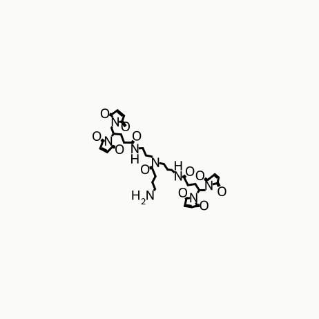 NCCCC(=O)N(CCCNC(=O)CCC(CN1C(=O)C=CC1=O)N1C(=O)C=CC1=O)CCCNC(=O)CCC(CN1C(=O)C=CC1=O)N1C(=O)C=CC1=O